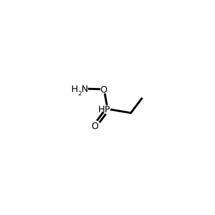 CC[PH](=O)ON